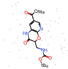 COC(=O)c1cnc2c(c1)NC(=O)C(CNC(=O)OC(C)(C)C)O2